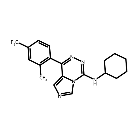 FC(F)(F)c1ccc(-c2nnc(NC3CCCCC3)n3cncc23)c(C(F)(F)F)c1